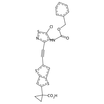 O=C(Nc1c(C#Cc2cc3sc(C4(C(=O)O)CC4)cc3s2)nsc1Cl)OCc1ccccc1